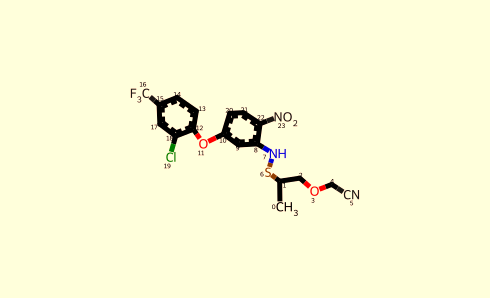 CC(COCC#N)SNc1cc(Oc2ccc(C(F)(F)F)cc2Cl)ccc1[N+](=O)[O-]